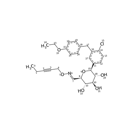 CCC#CCON=C[C@H]1O[C@@H](c2ccc(Cl)c(Cc3ccc(OCC)cc3)c2)[C@H](O)[C@@H](O)[C@@H]1O